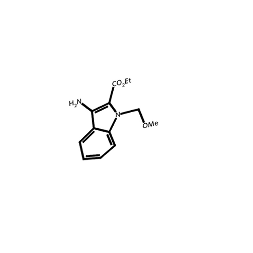 CCOC(=O)c1c(N)c2ccccc2n1COC